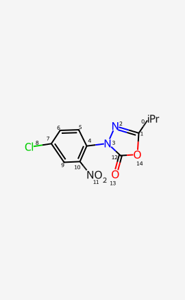 CC(C)c1nn(-c2ccc(Cl)cc2[N+](=O)[O-])c(=O)o1